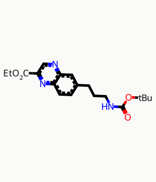 CCOC(=O)c1cnc2cc(CCCNC(=O)OC(C)(C)C)ccc2n1